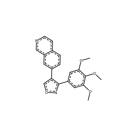 COc1cc(-c2nocc2-c2ccc3ccncc3c2)cc(OC)c1OC